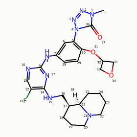 Cn1nnn(-c2cc(Nc3ncc(F)c(NC[C@@H]4CCCN5CCCC[C@H]45)n3)ccc2OC2COC2)c1=O